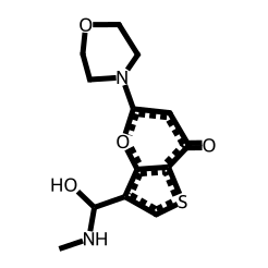 CNC(O)c1csc2c(=O)cc(N3CCOCC3)oc12